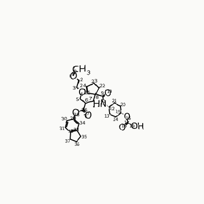 COCCOCC(CC1(C(=O)N[C@H]2CC[C@@H](OC(=O)O)CC2)CCCC1)C(=O)Oc1ccc2c(c1)CCC2